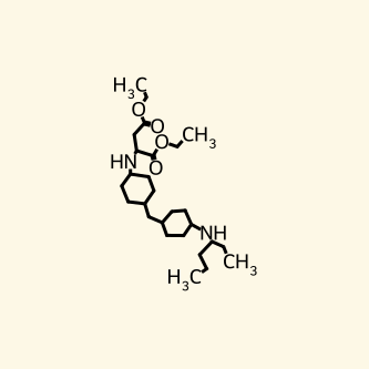 CCCC(CC)NC1CCC(CC2CCC(NC(CC(=O)OCC)C(=O)OCC)CC2)CC1